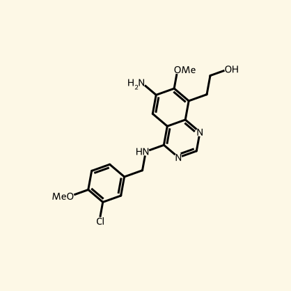 COc1ccc(CNc2ncnc3c(CCO)c(OC)c(N)cc23)cc1Cl